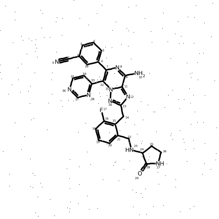 N#Cc1cccc(-c2nc(N)c3nc(Cc4c(F)cccc4CNC4CCNC4=O)nn3c2-c2ccncn2)c1